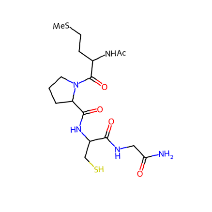 CSCCC(NC(C)=O)C(=O)N1CCCC1C(=O)NC(CS)C(=O)NCC(N)=O